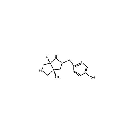 C[C@@]12CNC[C@@H]1NC(Cc1ncc(O)cn1)C2